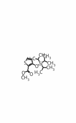 COC(=O)c1sccc1O[Si](C(C)C)(C(C)C)C(C)C